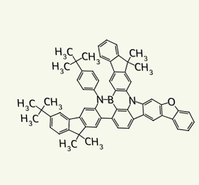 CC(C)(C)c1ccc(N2B3c4cc5c(cc4-n4c6cc7oc8ccccc8c7cc6c6ccc(c3c64)-c3cc4c(cc32)-c2cc(C(C)(C)C)ccc2C4(C)C)C(C)(C)c2ccccc2-5)cc1